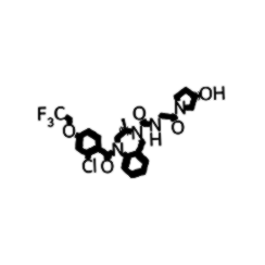 C[C@@H]1CN(C(=O)c2ccc(OCC(F)(F)F)cc2Cl)c2ccccc2CN1C(=O)NCC(=O)N1CC[C@@H](O)C1